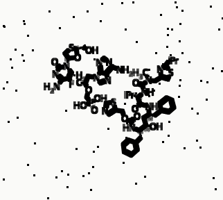 CC(C)c1nc(CN(C)C(=O)N[C@H](C(=O)N[C@@H](Cc2ccccc2)C[C@H](O)[C@H](Cc2ccccc2)NC(=O)OCc2cncs2)C(C)C)cs1.C[C@H](Cn1cnc2c(N)ncnc21)OCP(=O)(O)O.Nc1nc(=O)n([C@@H]2CS[C@H](CO)O2)cc1F